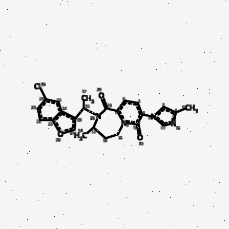 Cc1cn(-c2ccc3n(c2=O)CCC(C)N(C(C)c2coc4ccc(Cl)cc24)C3=O)cn1